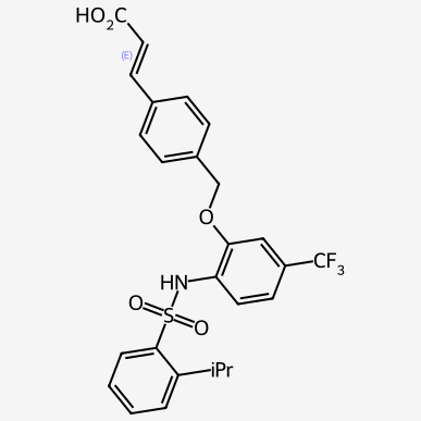 CC(C)c1ccccc1S(=O)(=O)Nc1ccc(C(F)(F)F)cc1OCc1ccc(/C=C/C(=O)O)cc1